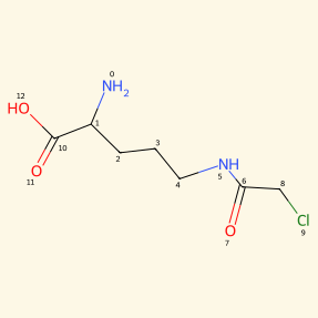 NC(CCCNC(=O)CCl)C(=O)O